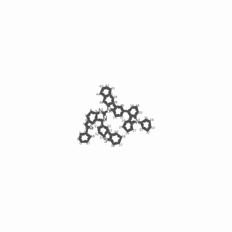 c1ccc(-c2cc3ccc4nc(-n5c6ccc(-c7cccc8c7c7ccccc7n8-c7ccccc7)cc6c6cc7ccccc7cc65)nc(-c5ccc6sc7ccccc7c6c5)c4c3s2)cc1